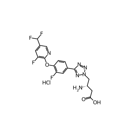 Cl.N[C@@H](CC(=O)O)Cn1nnc(-c2ccc(Oc3ncc(C(F)F)cc3F)c(F)c2)n1